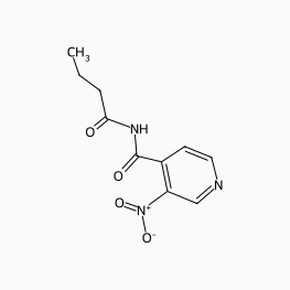 CCCC(=O)NC(=O)c1ccncc1[N+](=O)[O-]